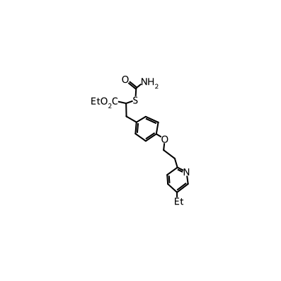 CCOC(=O)C(Cc1ccc(OCCc2ccc(CC)cn2)cc1)SC(N)=O